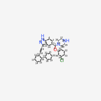 O=C(c1ccc2[nH]nc(C#Cc3ccccc3-c3ccccc3)c2c1)N1CCNC[C@@H]1c1ccc(Cl)cc1